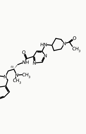 CC(=O)N1CCC(Nc2cc(C(=O)NC[C@@H](CN3CCc4ccccc4C3)N(C)C)ncn2)CC1